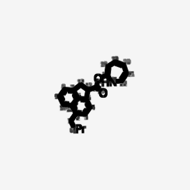 CC(C)Cc1ccc2c3c(cccc13)CC2C(=O)OC1=CC=CC=CN1